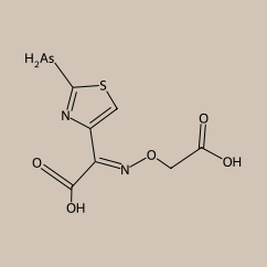 O=C(O)CO/N=C(/C(=O)O)c1csc([AsH2])n1